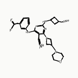 CSC1CC(Nc2nc(Nc3cccc(C(F)F)c3)c(C=N)c(N3CC(N4CCOCC4)C3)n2)C1